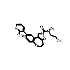 COc1ncccc1-c1ccc2c(c1)C1=C(CCO2)SN(C(=O)N(CCO)C(C)C)C1